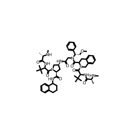 CN[C@@H](C)C(=O)NC(C(=O)N1Cc2ccccc2CC1C(=O)N(CC(=O)N[C@H]1C[C@@H](C(=O)NC2CCCc3ccccc32)N(C(=O)C(NC(=O)[C@H](C)NC)C(C)(C)C)C1)[C@@H](COC)c1ccccc1)C(C)(C)C